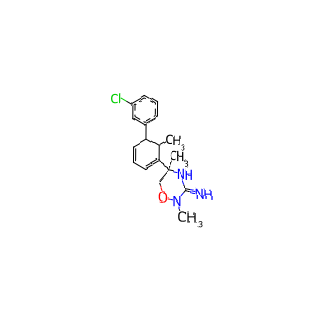 CC1C(C2(C)CON(C)C(=N)N2)=CC=CC1c1cccc(Cl)c1